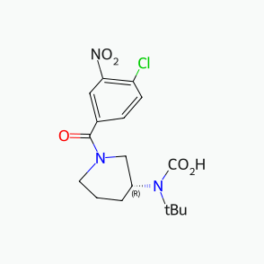 CC(C)(C)N(C(=O)O)[C@@H]1CCCN(C(=O)c2ccc(Cl)c([N+](=O)[O-])c2)C1